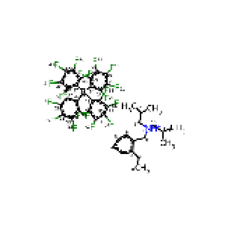 CCc1ccccc1C[NH+](CC(C)C)CC(C)C.Fc1c(F)c(F)c([B-](c2c(F)c(F)c(F)c(F)c2F)(c2c(F)c(F)c(F)c(F)c2F)c2c(F)c(F)c(F)c(F)c2F)c(F)c1F